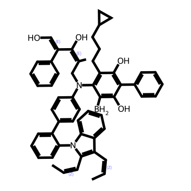 Bc1c(O)c(-c2ccccc2)c(O)c(CCCC2CC2)c1N(C/C(C)=C(O)\C(=C\O)c1ccccc1)c1ccc(-c2ccccc2-n2c(/C=C\C)c(/C=C\C)c3ccccc32)cc1